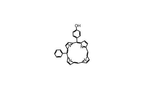 Oc1ccc(C2=C3C=CC(=N3)C=C3C=CC(=N3)C=C3C=CC(=N3)C(c3ccccc3)=C3C=CC2=N3)cc1